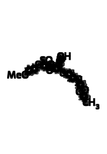 COc1ccc2cc(Oc3ccc(S(=O)(=O)c4ccc(COc5ccc6cc(Oc7ccc(S(=O)(=O)c8ccc(C)cc8)cc7)ccc6c5)c(SOOO)c4)cc3S(=O)(=O)O)ccc2c1